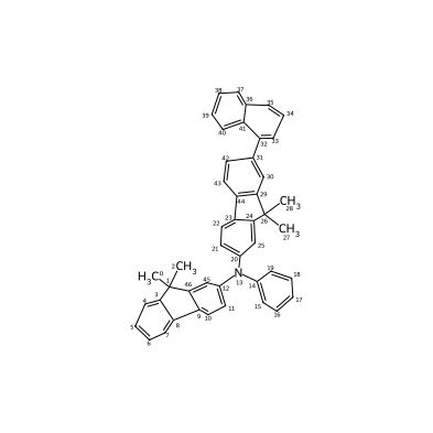 CC1(C)c2ccccc2-c2ccc(N(c3ccccc3)c3ccc4c(c3)C(C)(C)c3cc(-c5cccc6ccccc56)ccc3-4)cc21